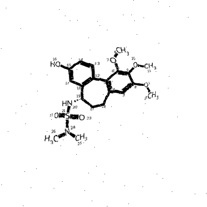 COc1cc2c(c(OC)c1OC)-c1ccc(O)cc1[C@@H](NS(=O)(=O)N(C)C)CC2